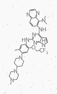 Cc1cc(Nc2nc(Nc3ccc4nccnc4c3N(C)C)c3cc[nH]c3n2)c(OCC(F)(F)F)cc1N1CCC(N2CCN(C)CC2)CC1